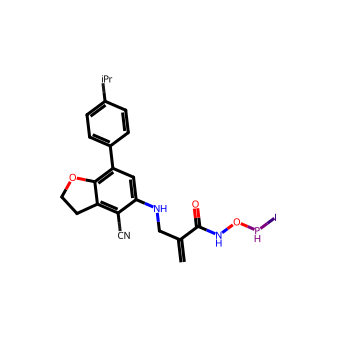 C=C(CNc1cc(-c2ccc(C(C)C)cc2)c2c(c1C#N)CCO2)C(=O)NOPI